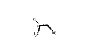 CC[C@@H](C)CC(C)=O